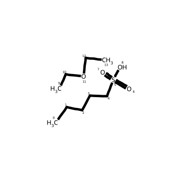 CCCCCS(=O)(=O)O.CCOCC